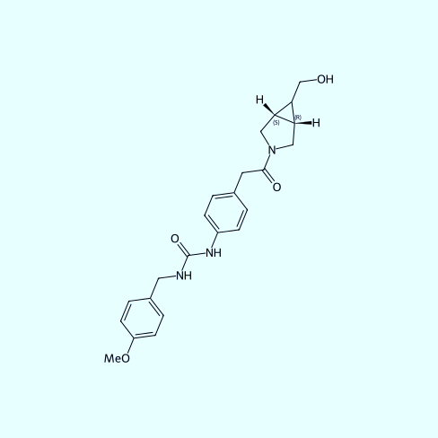 COc1ccc(CNC(=O)Nc2ccc(CC(=O)N3C[C@@H]4C(CO)[C@@H]4C3)cc2)cc1